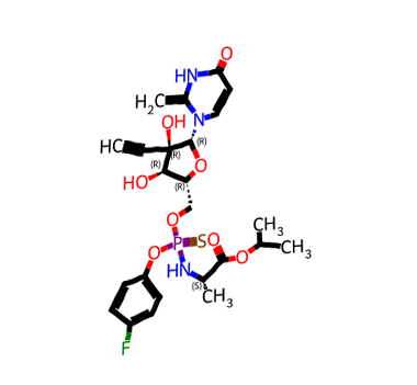 C#C[C@@]1(O)[C@H](O)[C@@H](COP(=S)(N[C@@H](C)C(=O)OC(C)C)Oc2ccc(F)cc2)O[C@H]1N1C=CC(=O)NC1=C